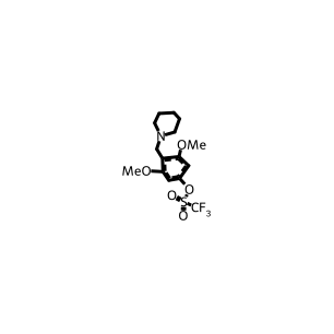 COc1cc(OS(=O)(=O)C(F)(F)F)cc(OC)c1CN1CCCCC1